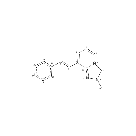 CN1CN2C=CC=C(C=Cc3ccccc3)C2=N1